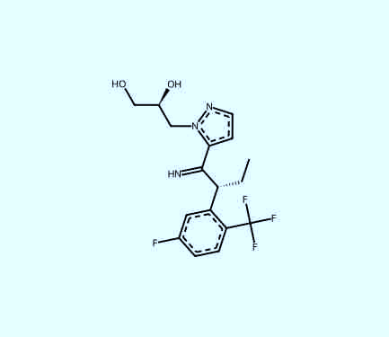 CC[C@@H](C(=N)c1ccnn1C[C@H](O)CO)c1cc(F)ccc1C(F)(F)F